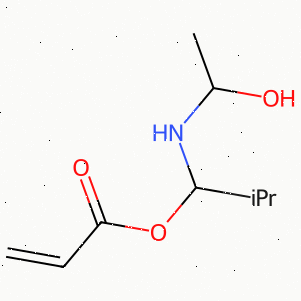 C=CC(=O)OC(NC(C)O)C(C)C